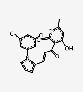 Cc1cc(O)c(C(=O)C=Cc2cccn2-c2cc(Cl)cc(Cl)c2)c(=O)o1